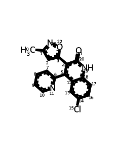 Cc1cc(-c2c(-c3ccccn3)c3cc(Cl)ccc3[nH]c2=O)on1